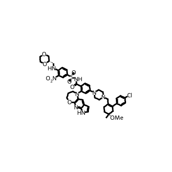 CO[C@]1(C)CCC(CN2CCN(c3ccc(C(=O)NS(=O)(=O)c4ccc(NC[C@H]5COCCO5)c([N+](=O)[O-])c4)c(N4CCCOc5nc6[nH]ccc6cc54)c3)CC2)=C(c2ccc(Cl)cc2)C1